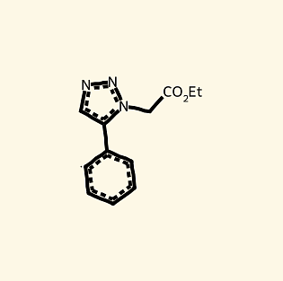 CCOC(=O)Cn1nncc1-c1[c]cccc1